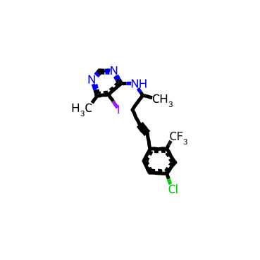 Cc1ncnc(NC(C)CC#Cc2ccc(Cl)cc2C(F)(F)F)c1I